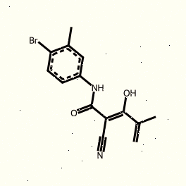 C=C(C)C(O)=C(C#N)C(=O)Nc1ccc(Br)c(C)c1